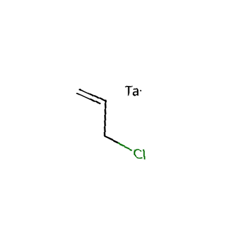 C=CCCl.[Ta]